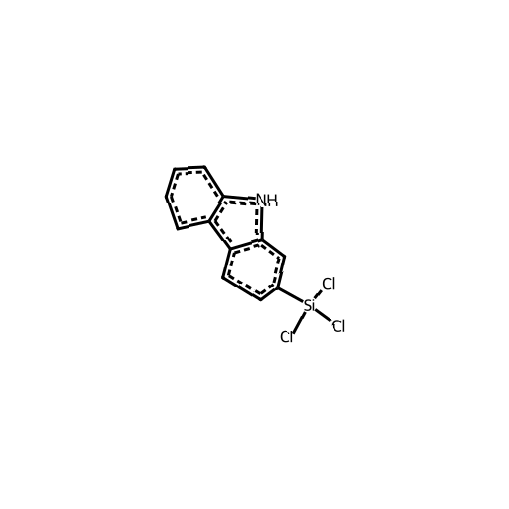 Cl[Si](Cl)(Cl)c1ccc2c(c1)[nH]c1ccccc12